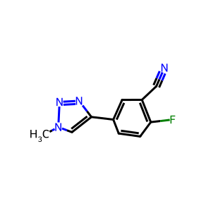 Cn1cc(-c2ccc(F)c(C#N)c2)nn1